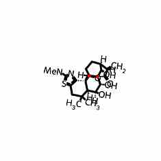 C=C1C(=O)[C@]23[C@H](O)[C@H]1CC[C@H]2[C@@]12CO[C@]3(O)[C@@H](O)[C@@H]1C(C)(C)Cc1sc(NC)nc12